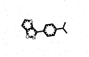 CC(C)c1ccc(-c2noc3ccsc23)cc1